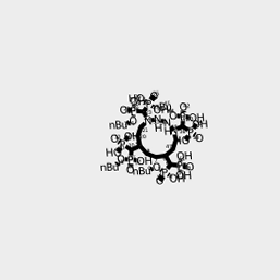 CCCCOP(=O)(O)C(C1CCC(C(P(=O)(O)O)P(=O)(O)OCCCC)CCN(C(P(=O)(O)O)P(=O)(O)OCCCC)NNN(C(P(=O)(O)O)P(=O)(O)OCCCC)CC1)P(=O)(O)O